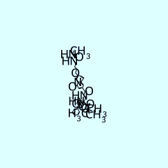 CNC(=O)NCCCOc1ccc2cc(C(=O)NCC(NS(=O)(=O)c3ccccc3)C(=O)OC(C)(C)C)cc(=O)n2c1